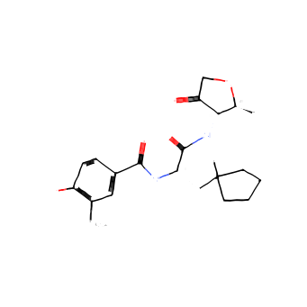 CC[C@@H]1OCC(=O)[C@H]1NC(=O)[C@H](CC1(C)CCCC1)NC(=O)c1ccc(O)c(OC)c1